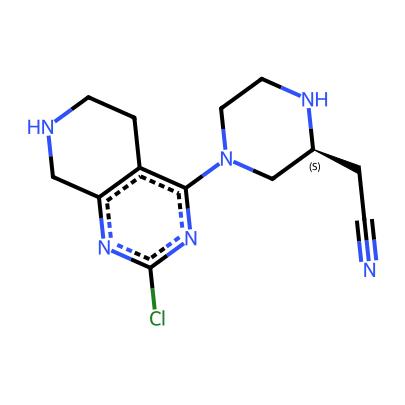 N#CC[C@H]1CN(c2nc(Cl)nc3c2CCNC3)CCN1